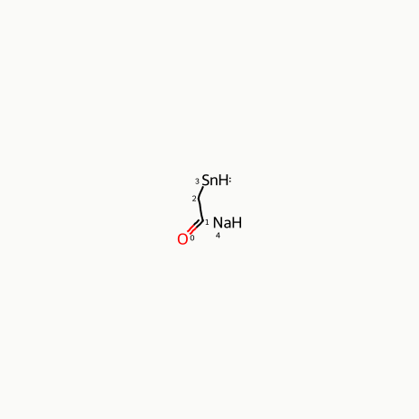 O=C[CH2][SnH].[NaH]